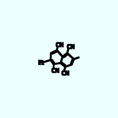 CCc1cc(C#N)c2c(C#N)c(C)cc(C#N)c2c1C#N